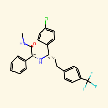 CNC(=O)[C@H](N[C@@H](CCc1ccc(C(F)(F)F)cc1)c1ccc(Cl)cc1)c1ccccc1